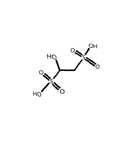 O=S(=O)(O)CC(O)S(=O)(=O)O